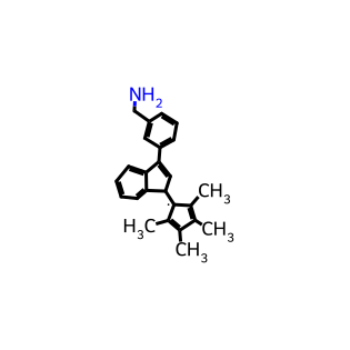 CC1=C(C)C(C)=C(C)[C]1C1C=C(c2cccc(CN)c2)c2ccccc21